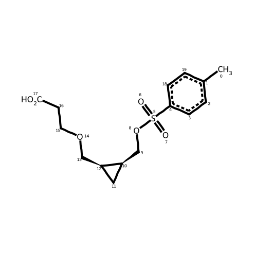 Cc1ccc(S(=O)(=O)OC[C@H]2C[C@H]2COCCC(=O)O)cc1